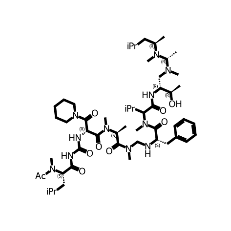 CC(=O)N(C)[C@@H](CC(C)C)C(=O)NC(=O)N[C@H](C(=O)N1CCCCC1)C(=O)N(C)[C@@H](C)C(=O)N(C)CN[C@@H](Cc1ccccc1)C(=O)N(C)C(C(=O)N[C@H](CN(C)[C@@H](C)N(C)[C@H](C)CC(C)C)[C@@H](C)O)C(C)C